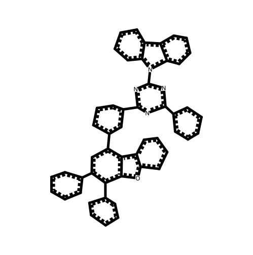 c1ccc(-c2nc(-c3cccc(-c4cc(-c5ccccc5)c(-c5ccccc5)c5oc6ccccc6c45)c3)nc(-n3c4ccccc4c4ccccc43)n2)cc1